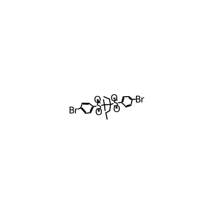 CCCC(CC)(C(C)(C)S(=O)(=O)c1ccc(Br)cc1)S(=O)(=O)c1ccc(Br)cc1